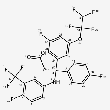 O=C(O)C[C@@](Nc1ccc(F)c(C(F)(F)F)c1)(c1ccc(F)cc1)c1cc(F)cc(OC(F)(F)C(F)F)c1